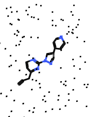 C#CCc1ccnc(-n2cc(-c3ccncc3)cn2)n1